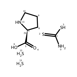 NC(=S)S.O=C(O)[C@@H]1CCCN1.S.S